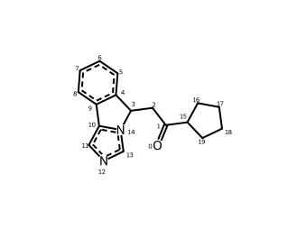 O=C(CC1c2ccccc2-c2cncn21)C1CCCC1